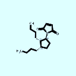 CCCC[C@H]1CC[C@H](N2C(=O)C=CC2=O)[C@H]1CCCC